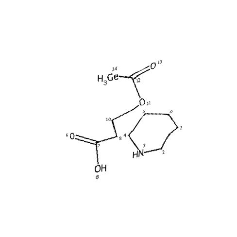 C1CCNCC1.O=C(O)CCO[C](=O)[GeH3]